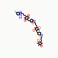 CC1=C(C)C(=O)C(CCCc2nc3ccc(CC4=C(C)C(=O)C(CCCc5nc6ccc(CC7=C(C)C(=O)C(CCCc8nc9cc(F)ccc9[nH]8)=C(C)C7=O)cc6o5)=C(C)C4=O)cc3s2)=C(C)C1=O